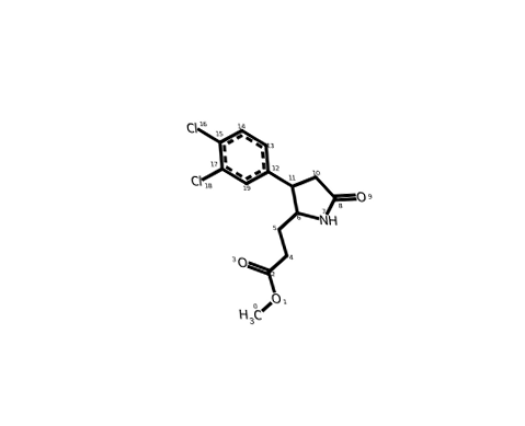 COC(=O)CCC1NC(=O)CC1c1ccc(Cl)c(Cl)c1